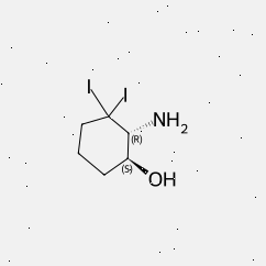 N[C@@H]1[C@@H](O)CCCC1(I)I